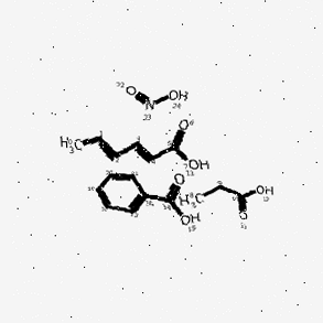 CC=CC=CC(=O)O.CCC(=O)O.O=C(O)c1ccccc1.O=NO